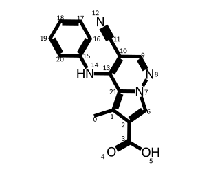 Cc1c(C(=O)O)cn2ncc(C#N)c(Nc3ccccc3)c12